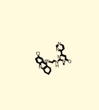 Cn1c(NCCNc2c3c(nc4ccc(Cl)cc24)CCCC3)nc(-c2ccncn2)cc1=O